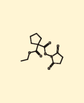 CCOC(=O)C1(C(=O)ON2C(=O)CCC2=O)CCCC1